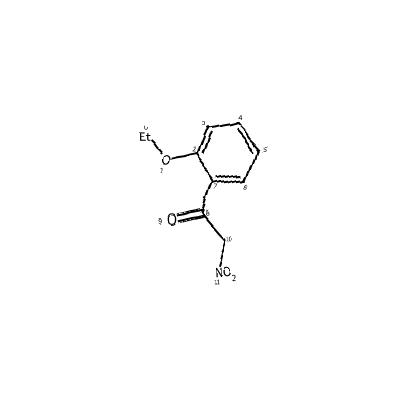 CCOc1ccccc1C(=O)C[N+](=O)[O-]